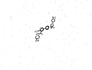 Nc1ncc(-c2ccc([C@@]34C[C@@H]3CN(C3CCS(=O)(=O)CC3)C4)cc2)cc1C(=O)N[C@H]1CC[C@H](O)CC1